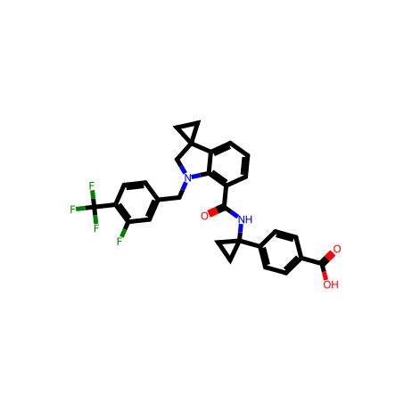 O=C(O)c1ccc(C2(NC(=O)c3cccc4c3N(Cc3ccc(C(F)(F)F)c(F)c3)CC43CC3)CC2)cc1